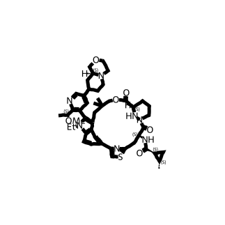 CCn1c(-c2cc(C3CCN4CCOC[C@@H]4C3)cnc2[C@H](C)OC)c2c3cc(ccc31)-c1csc(n1)C[C@H](NC(=O)[C@H]1C[C@@H]1C)C(=O)N1CCC[C@H](N1)C(=O)OCC(C)(C)C2